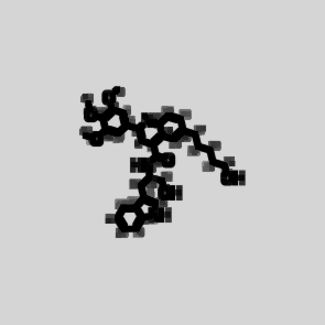 COc1cc(-c2cc(C(=O)N[C@@H](CO)Cc3c[nH]c4ccccc34)c3cc(CCCCCO)ccc3n2)cc(OC)c1OC